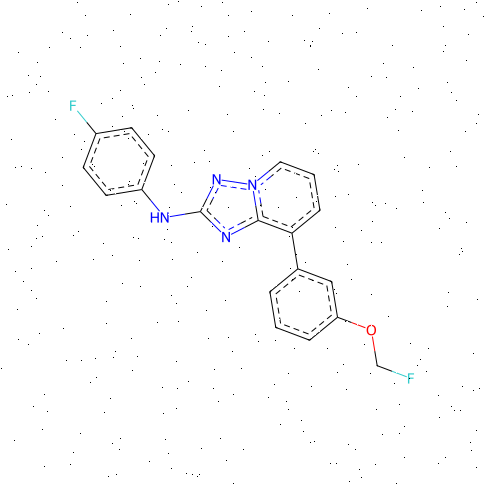 FCOc1cccc(-c2cccn3nc(Nc4ccc(F)cc4)nc23)c1